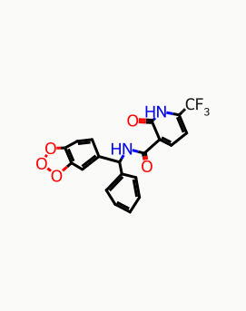 O=C(NC(c1ccccc1)c1ccc2c(c1)OOO2)c1ccc(C(F)(F)F)[nH]c1=O